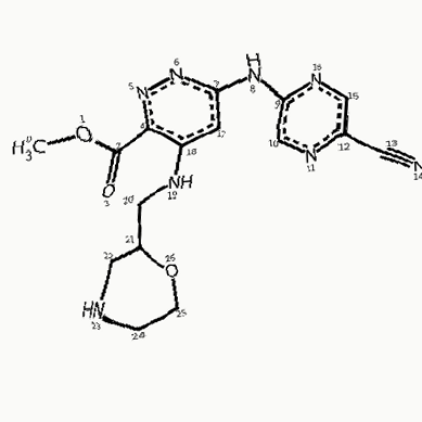 COC(=O)c1nnc(Nc2cnc(C#N)cn2)cc1NCC1CNCCO1